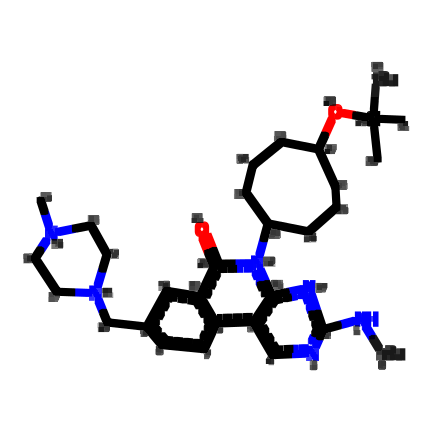 CCCCNc1ncc2c3ccc(CN4CCN(C)CC4)cc3c(=O)n(C3CCCC(O[Si](C)(C)C(C)(C)C)CCC3)c2n1